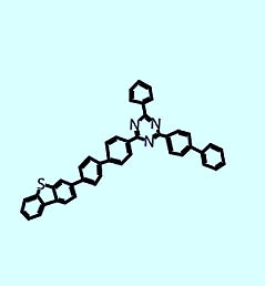 c1ccc(-c2ccc(-c3nc(-c4ccccc4)nc(-c4ccc(-c5ccc(-c6ccc7c(c6)sc6ccccc67)cc5)cc4)n3)cc2)cc1